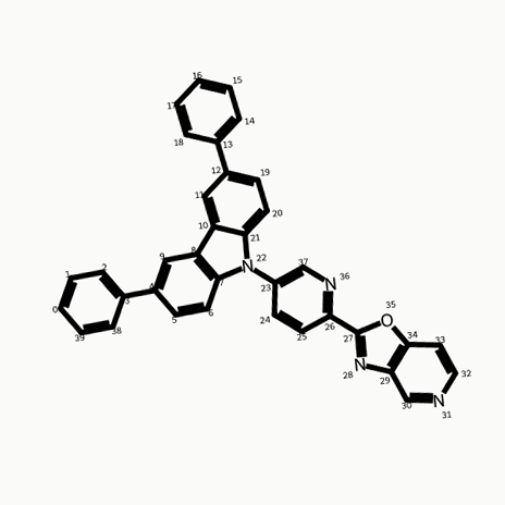 c1ccc(-c2ccc3c(c2)c2cc(-c4ccccc4)ccc2n3-c2ccc(-c3nc4cnccc4o3)nc2)cc1